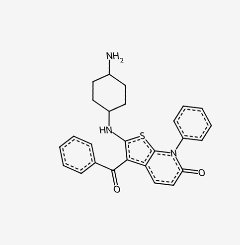 NC1CCC(Nc2sc3c(ccc(=O)n3-c3ccccc3)c2C(=O)c2ccccc2)CC1